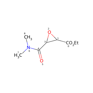 CCOC(=O)C1OC1C(=O)N(C)C